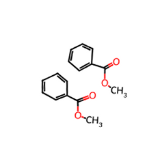 COC(=O)c1ccccc1.COC(=O)c1ccccc1